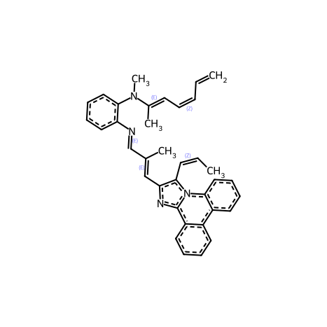 C=C/C=C\C=C(/C)N(C)c1ccccc1/N=C/C(C)=C/c1nc2c3ccccc3c3ccccc3n2c1/C=C\C